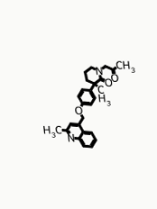 CC(=O)CN1CCCC(C)(c2ccc(OCc3cc(C)nc4ccccc34)cc2)C1=O